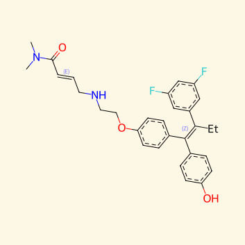 CC/C(=C(\c1ccc(O)cc1)c1ccc(OCCNC/C=C/C(=O)N(C)C)cc1)c1cc(F)cc(F)c1